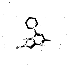 CC1=NC2=CN(C(C)C)NN2C(N2CCCCC2)=C1